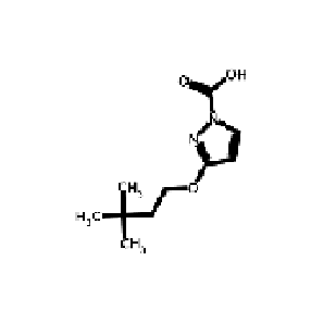 CC(C)(C)CCOc1ccn(C(=O)O)n1